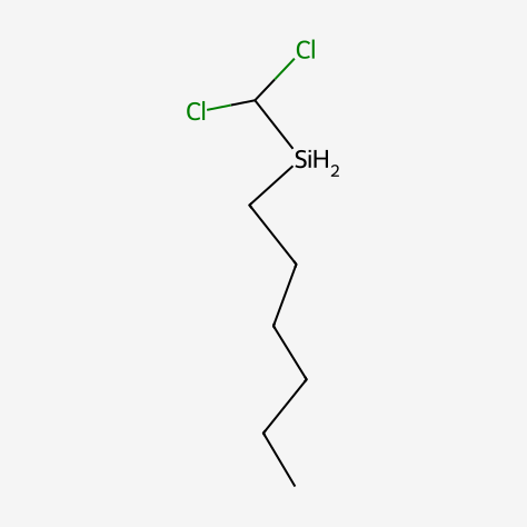 CCCCCC[SiH2]C(Cl)Cl